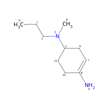 CCCN(C)C1CC=C(N)CC1